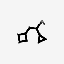 C[C](CC1CCC1)C1CC1